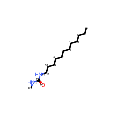 CCCCCCCCCCCCNC(=O)NC